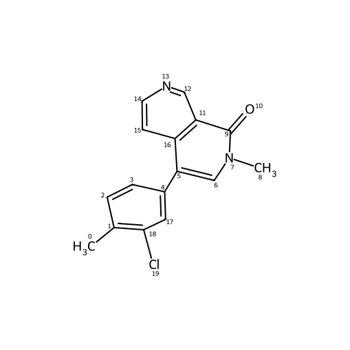 Cc1ccc(-c2cn(C)c(=O)c3cnccc23)cc1Cl